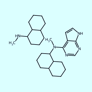 CN(c1ncnc2[nH]ccc12)C1CCCC2CCCCC21.CNC1CCCC2CCCCC21